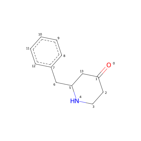 O=C1CCNC(Cc2ccccc2)C1